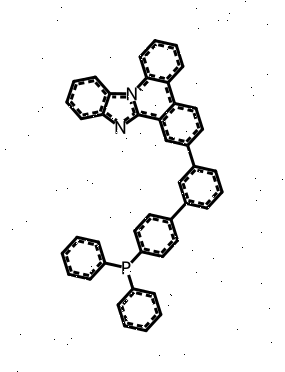 c1ccc(P(c2ccccc2)c2ccc(-c3cccc(-c4ccc5c6ccccc6n6c7ccccc7nc6c5c4)c3)cc2)cc1